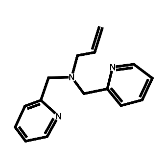 C=CCN(Cc1ccccn1)Cc1ccccn1